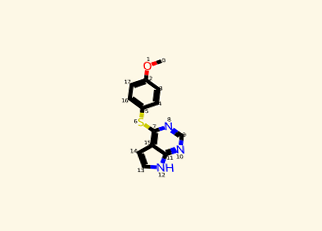 COc1ccc(Sc2ncnc3[nH]ccc23)cc1